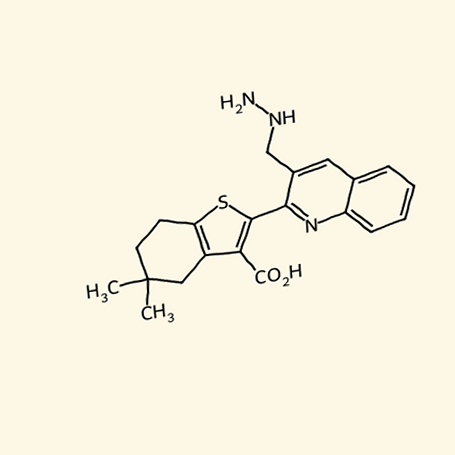 CC1(C)CCc2sc(-c3nc4ccccc4cc3CNN)c(C(=O)O)c2C1